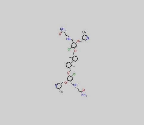 Cc1c(COc2cc(OCc3cncc(C#N)c3)c(CNCCCC(N)=O)cc2Cl)cccc1-c1cccc(COc2cc(OCc3cncc(C#N)c3)c(CNCCCC(N)=O)cc2Cl)c1C